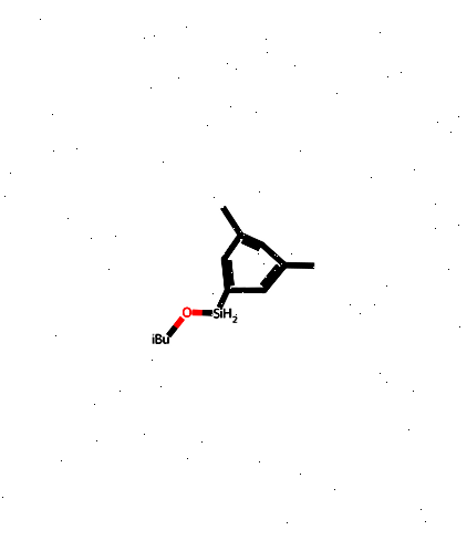 CCC(C)O[SiH2]c1cc(C)cc(C)c1